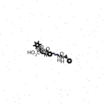 Cc1c(C)c(C)c(S(=O)(=O)N[C@@H](Cc2nc3ccc(/C=C/CNC(=O)NC4C[C@H]4c4ccccc4)cc3c(=O)[nH]2)C(=O)O)c(C)c1C